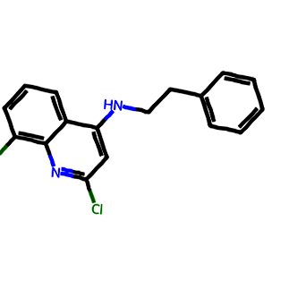 Fc1cccc2c(NCCc3ccccc3)cc(Cl)nc12